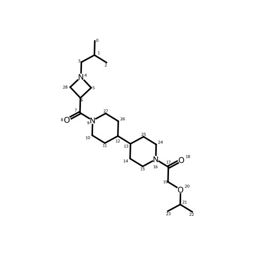 CC(C)CN1CC(C(=O)N2CCC(C3CCN(C(=O)COC(C)C)CC3)CC2)C1